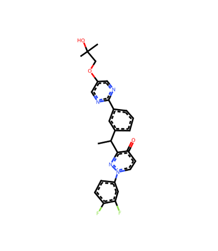 CC(c1cccc(-c2ncc(OCC(C)(C)O)cn2)c1)c1nn(-c2ccc(F)c(F)c2)ccc1=O